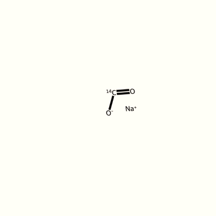 O=[14CH][O-].[Na+]